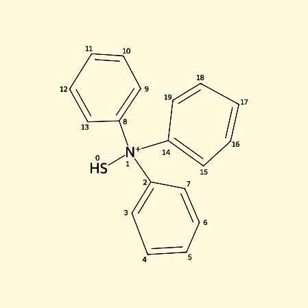 S[N+](c1ccccc1)(c1ccccc1)c1ccccc1